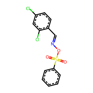 O=S(=O)(ON=Cc1ccc(Cl)cc1Cl)c1ccccc1